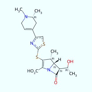 C[C@@H]1CC(c2csc(SC3=C(C(=O)O)N4C(=O)[C@H]([C@@H](C)O)[C@H]4[C@H]3C)n2)=CCN1C